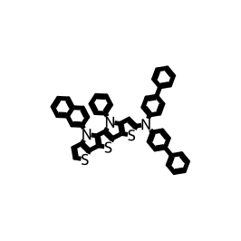 c1ccc(-c2ccc(N(c3ccc(-c4ccccc4)cc3)c3cc4c(s3)c3sc5c6sccc6n(-c6ccc7ccccc7c6)c5c3n4-c3ccccc3)cc2)cc1